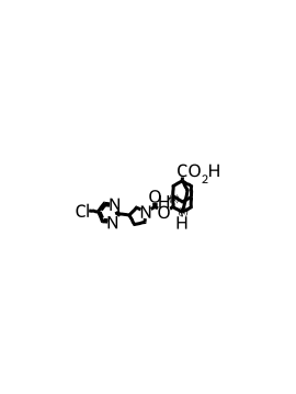 O=C(OC1[C@@H]2CC3C[C@@H]1CC(C(=O)O)(C3)C2)N1CCC(c2ncc(Cl)cn2)C1